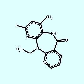 CCN1c2ncccc2C(=O)Nc2c(C)cc(I)nc21